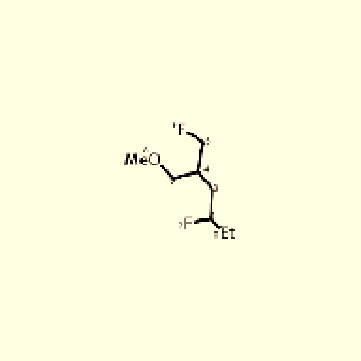 CCC(F)CC(CF)COC